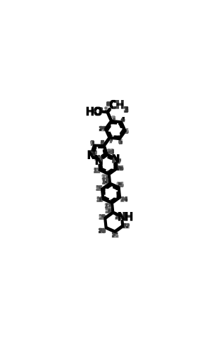 CC(O)c1cccc(-c2cnn3cc(-c4ccc(C5CCCCN5)cc4)cnc23)c1